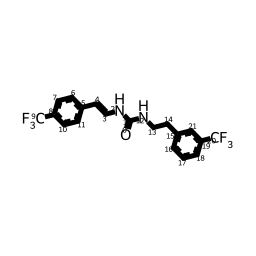 O=C(N/C=C/c1ccc(C(F)(F)F)cc1)NCCc1cccc(C(F)(F)F)c1